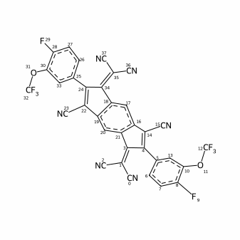 N#CC(C#N)=C1C(c2ccc(F)c(OC(F)(F)F)c2)=C(C#N)c2cc3c(cc21)C(C#N)=C(c1ccc(F)c(OC(F)(F)F)c1)C3=C(C#N)C#N